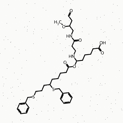 COC(CC=O)CNC(=O)CCNC(CCCCC(=O)O)OC(=O)CCCCC(CCCSCc1ccccc1)SCc1ccccc1